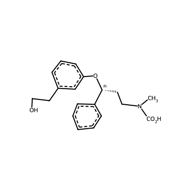 CN(CC[C@@H](Oc1cccc(CCO)c1)c1ccccc1)C(=O)O